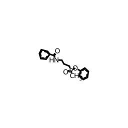 CP(=O)(CCCNC(=O)c1ccccc1)Oc1ccccc1